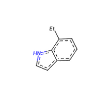 [CH2]Cc1cccc2cc[nH]c12